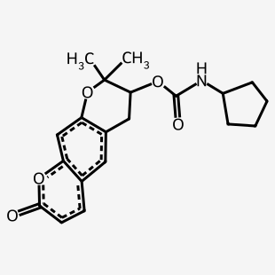 CC1(C)Oc2cc3oc(=O)ccc3cc2CC1OC(=O)NC1CCCC1